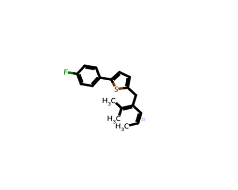 C/C=C\C(Cc1ccc(-c2ccc(F)cc2)s1)=C(C)C